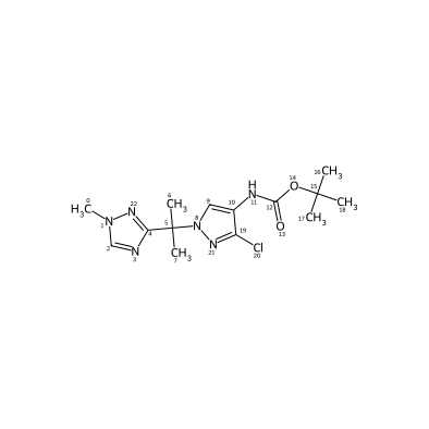 Cn1cnc(C(C)(C)n2cc(NC(=O)OC(C)(C)C)c(Cl)n2)n1